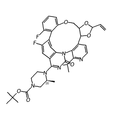 C=CC1OC2COc3cccc(F)c3-c3cc4c(cc3F)c(N3CCN(C(=O)OC(C)(C)C)C[C@@H]3C)nc(=O)n4-c3c(ccnc3C(C)C)C2O1